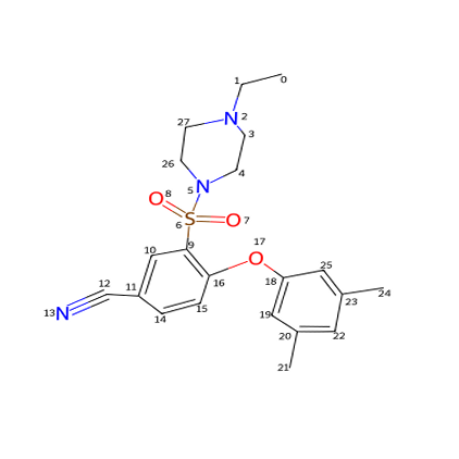 CCN1CCN(S(=O)(=O)c2cc(C#N)ccc2Oc2cc(C)cc(C)c2)CC1